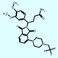 COc1ccc(C(CCC(N)=O)N2C(=O)c3cccc(N4CCN(CC(F)(F)F)CC4)c3C2=O)cc1OC